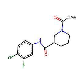 COC(=O)N1CCCC(C(=O)Nc2ccc(Cl)c(F)c2)C1